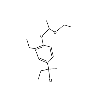 CCOC(C)Oc1ccc(C(C)(Cl)CC)cc1CC